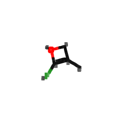 CC1=C(F)OC1